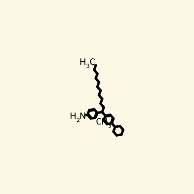 CCCCCCCCCCCCC(c1ccc(C2CCCCC2)cc1)c1ccc(N)cc1C